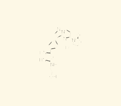 CC(C)[C@H]1COC(=O)N1c1ccn2ncc(-c3ccc(C(=N)OC(=N)NCCO)cc3)c2n1